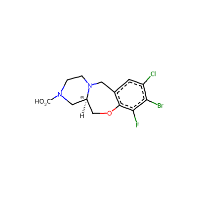 O=C(O)N1CCN2Cc3cc(Cl)c(Br)c(F)c3OC[C@H]2C1